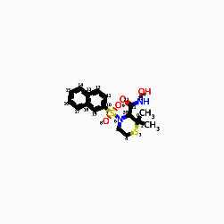 CC1(C)SCCN(S(=O)(=O)c2ccc3ccccc3c2)C1C(=O)NO